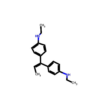 CC=C(c1ccc(NCC)cc1)c1ccc(NCC)cc1